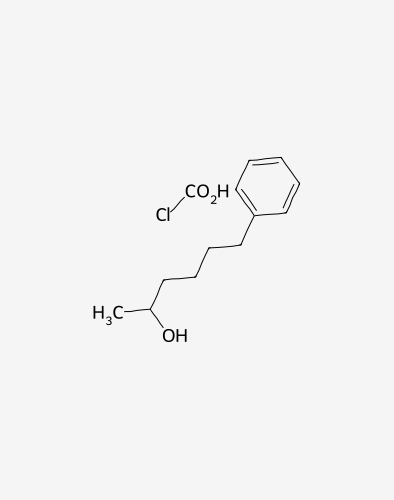 CC(O)CCCCc1ccccc1.O=C(O)Cl